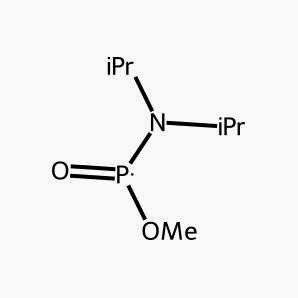 CO[P](=O)N(C(C)C)C(C)C